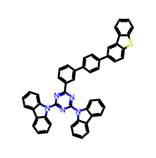 c1cc(-c2ccc(-c3ccc4sc5ccccc5c4c3)cc2)cc(-c2nc(-n3c4ccccc4c4ccccc43)nc(-n3c4ccccc4c4ccccc43)n2)c1